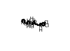 CO/C(=C\C=C\c1cc2cc(Cl)c(Cl)cc2[nH]1)C(=O)Nc1ccc(Oc2ccccn2)nc1.Cl